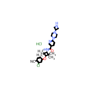 CC1(C)[C@H](NC(=O)c2ccc(N3CCN(C4CNC4)CC3)nc2)C(C)(C)[C@H]1Oc1ccc(C#N)c(Cl)c1.Cl